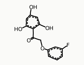 O=C(COc1cccc(F)c1)c1c(O)cc(O)cc1O